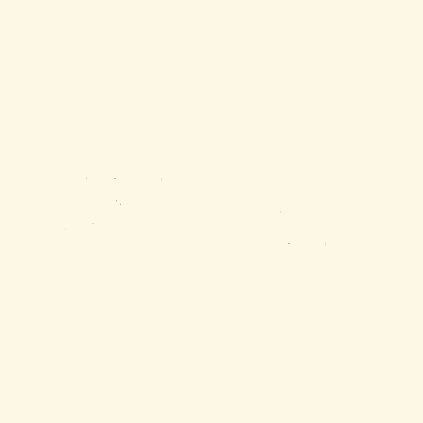 C=CCN(CCCCCCN([Si](C)(C)C)[Si](C)(C)C)[Si](C)(C)C